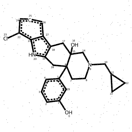 Oc1cccc(C23CCN(CC4CC4)CC2(O)Cc2c([nH]c4c(Cl)cccc24)C3)c1